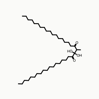 CCCCCCCCCCCCCCCCCC(=O)C(C)C(O)(O)C(=O)CCCCCCCCCCCCCCCCC